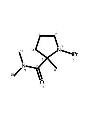 CC(C)N1CCCC1(C)C(=O)N(C)C